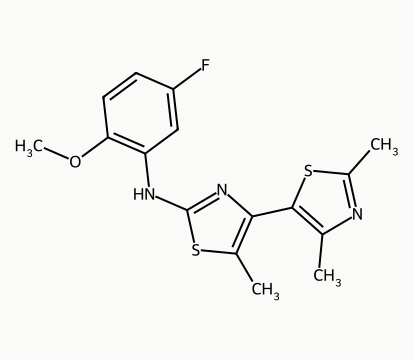 COc1ccc(F)cc1Nc1nc(-c2sc(C)nc2C)c(C)s1